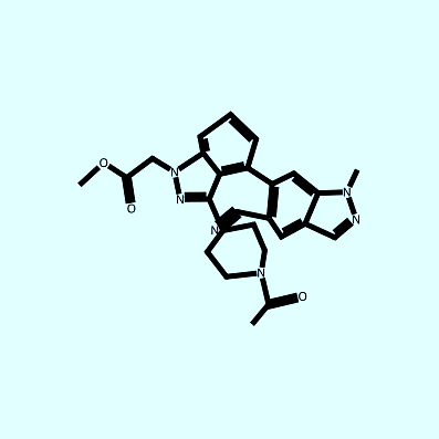 COC(=O)Cn1nc(C2CCN(C(C)=O)CC2)c2c(-c3cc4c(cnn4C)cc3C#N)cccc21